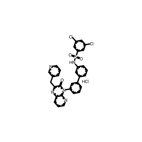 Cl.O=c1c(Cc2cccnc2)nc2cccnc2n1-c1cccc(-c2cccc(NS(=O)(=O)c3cc(Cl)cc(Cl)c3)c2)c1